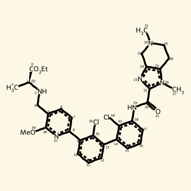 CCOC(=O)[C@H](C)NCc1ccc(-c2cccc(-c3cccc(NC(=O)c4nc5c(n4C)CCN(C)C5)c3Cl)c2Cl)nc1OC